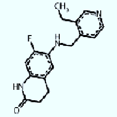 CCc1cnccc1CNc1cc2c(cc1F)NC(=O)CC2